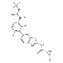 Cc1ccc(N(C)C(=O)OC(C)(C)C)c(F)c1-c1ccc2nc(NC(=O)[C@@H]3C[C@@H]3F)sc2c1